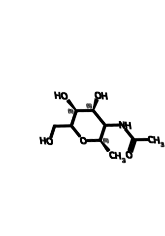 CC(=O)NC1[C@@H](C)OC(CO)[C@@H](O)[C@H]1O